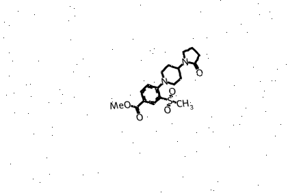 COC(=O)c1ccc(N2CCC(N3CCCC3=O)CC2)c(S(C)(=O)=O)c1